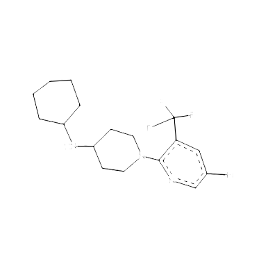 FC(F)(F)c1cc(Br)cnc1N1CCC(NC2CCCCC2)CC1